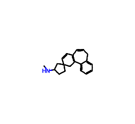 CNC1CCC2(C=CC3=C(C2)c2ccccc2CC=C3)C1